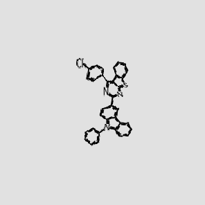 Clc1ccc(-c2nc(-c3ccc4c(c3)c3ccccc3n4-c3ccccc3)nc3sc4ccccc4c23)cc1